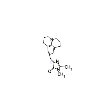 CC1=N/C(=C\c2cc3c4c(c2)CCCN4CCC3)C(=O)N1C